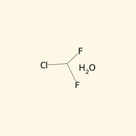 FC(F)Cl.O